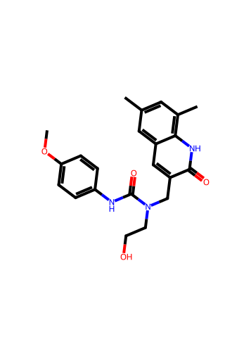 COc1ccc(NC(=O)N(CCO)Cc2cc3cc(C)cc(C)c3[nH]c2=O)cc1